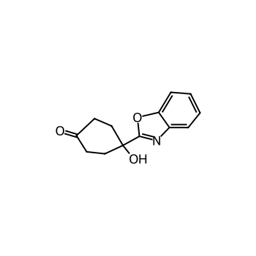 O=C1CCC(O)(c2nc3ccccc3o2)CC1